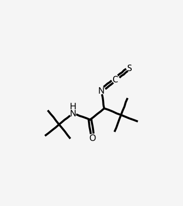 CC(C)(C)NC(=O)C(N=C=S)C(C)(C)C